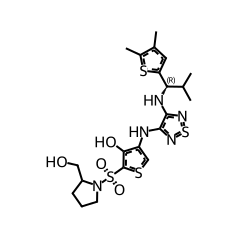 Cc1cc([C@H](Nc2nsnc2Nc2csc(S(=O)(=O)N3CCCC3CO)c2O)C(C)C)sc1C